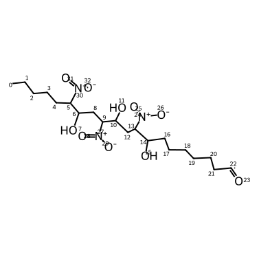 CCCCCC(C(O)CC(C(O)CC(C(O)CCCCCC[C]=O)[N+](=O)[O-])[N+](=O)[O-])[N+](=O)[O-]